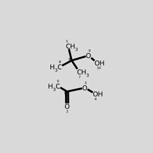 CC(=O)OO.CC(C)(C)OO